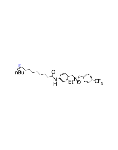 CCCC/C=C\CCCCCCCC(=O)Nc1ccc(C[N+]([O-])(CC)Cc2ccc(C(F)(F)F)cc2)cc1